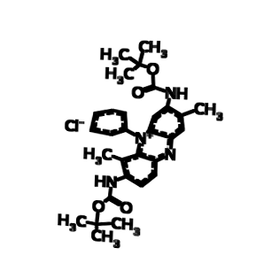 Cc1cc2nc3ccc(NC(=O)OC(C)(C)C)c(C)c3[n+](-c3ccccc3)c2cc1NC(=O)OC(C)(C)C.[Cl-]